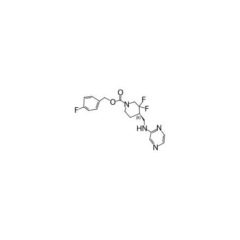 O=C(OCc1ccc(F)cc1)N1CC[C@H](CNc2cnccn2)C(F)(F)C1